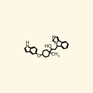 CC1(C(O)CC2c3ccccc3-c3cncn32)CCC(Oc2ccc3[nH]ccc3c2)CC1